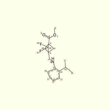 COC(=O)C12CC(CNc3ccccc3C(C)C)(C1)C2(F)F